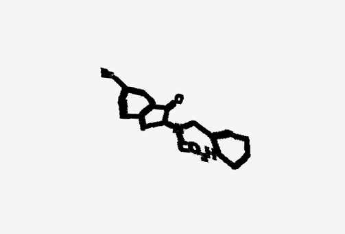 O=C1c2cc(Br)ccc2CC1N(CC1CCCCC1)C(=O)O